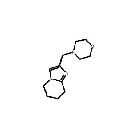 c1c(CN2CCOCC2)nc2n1CCCC2